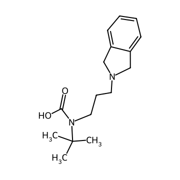 CC(C)(C)N(CCCN1Cc2ccccc2C1)C(=O)O